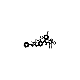 CCc1nc(-c2ccccc2)cn1Cc1ccc2c(c1)COc1cc(F)ccc1C2=C(C)c1noc(=O)[nH]1